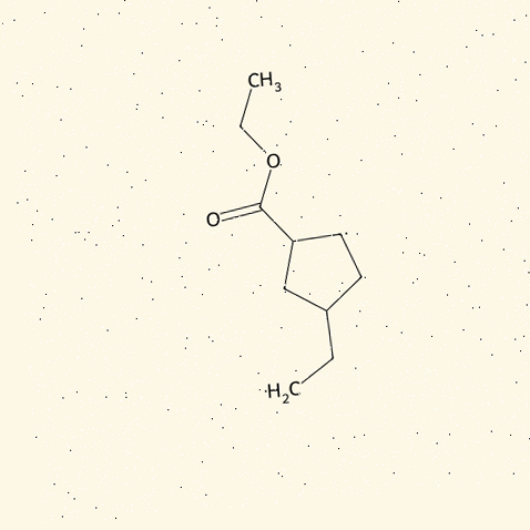 [CH2]CC1C[CH]C(C(=O)OCC)C1